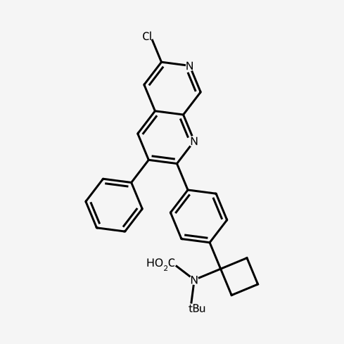 CC(C)(C)N(C(=O)O)C1(c2ccc(-c3nc4cnc(Cl)cc4cc3-c3ccccc3)cc2)CCC1